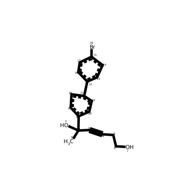 CC(O)(C#CCCO)c1ccc(-c2ccc(Br)cc2)cc1